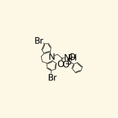 O=C(CN1c2ccc(Br)cc2CCc2cc(Br)ccc21)NS(=O)(=O)c1ccccc1